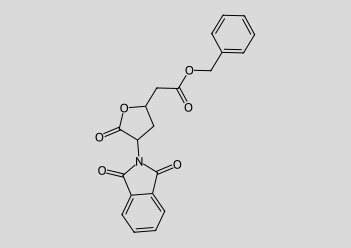 O=C(CC1CC(N2C(=O)c3ccccc3C2=O)C(=O)O1)OCc1ccccc1